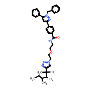 CCC(C)C(C)C(C)(C)c1cn(CCOCCNC(=O)c2ccc(-c3cc(-c4ccccc4)n(Cc4ccccc4)n3)cc2)nn1